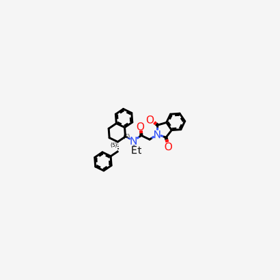 CCN(C(=O)CN1C(=O)c2ccccc2C1=O)[C@@H]1c2ccccc2CC[C@H]1Cc1ccccc1